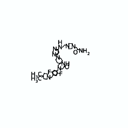 CC1(C)CCN(Cc2cc(F)c(N3CC(=O)NC4(CCN(c5cc(NCCN6CCN(CC(N)=O)CC6)ncn5)CC4)C3)cc2F)CC1